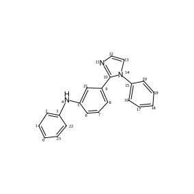 c1ccc(Nc2cccc(-c3nccn3-c3ccccc3)c2)cc1